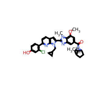 COc1cc(C(=O)N2CC3CCC2[C@@H]3C)cc2nc(-c3cc4ccc(-c5ccc(O)cc5Cl)nc4n3CC3CC3)n(C)c12